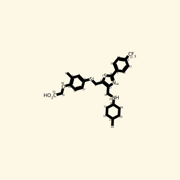 Cc1cc(SCc2sc(-c3ccc(C(F)(F)F)cc3)nc2CNC2CCC(C)CC2)ccc1OCC(=O)O